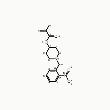 C=C(C)C(=O)OC1CCN(Cc2ccccc2[N+](=O)[O-])CC1